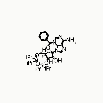 CC(C)[Si]1(C(C)C)OC[C@H]2O[C@@H](N3C=NC4=C(N)N=CN(C(=O)c5ccccc5)C43)[C@H](O)[C@@H]2O[Si](C(C)C)(C(C)C)O1